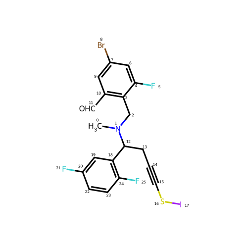 CN(Cc1c(F)cc(Br)cc1C=O)C(CC#CSI)c1cc(F)ccc1F